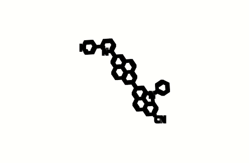 N#Cc1cc2ccc3cc(-c4cc5ccc6cc(-c7cccc(-c8ccncc8)n7)cc7ccc(c4)c5c67)cc4c3c2c(c1)n4-c1ccccc1